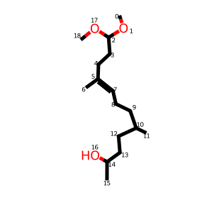 COC(CCC(C)=CCCC(C)CCC(C)O)OC